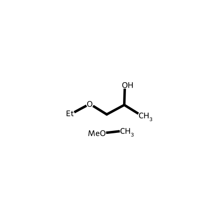 CCOCC(C)O.COC